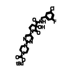 CC(C)(C)OC(=O)N1CCN(c2ncc(N3CCC(O)(C(=O)NCc4cc(F)cc(Cl)c4)C3=O)cn2)CC1